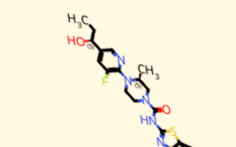 CC[C@H](O)c1cnc(N2CCN(C(=O)Nc3nc4ccccc4s3)C[C@@H]2C)c(F)c1